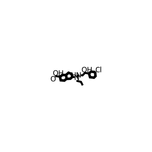 CCCN(NC[C@H](O)c1cccc(Cl)c1)c1ccc2cc(C(=O)O)ccc2c1